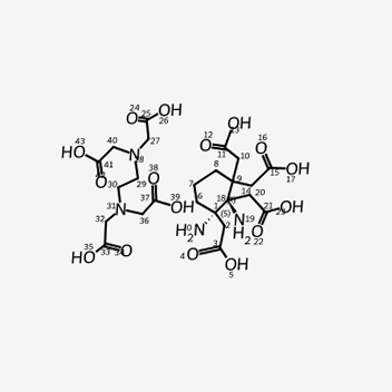 N[C@]1(CC(=O)O)CCCC(CC(=O)O)(CC(=O)O)[C@]1(N)CC(=O)O.O=C(O)CN(CCN(CC(=O)O)CC(=O)O)CC(=O)O